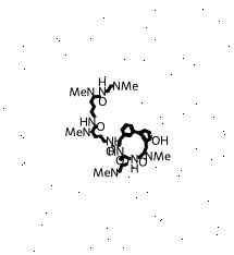 CNCCC[C@@H]1NC(=O)[C@@H](NC)Cc2cc(ccc2O)-c2cccc(c2)C[C@@H](C(=O)NCCC[C@H](NC)C(=O)NCCCC[C@H](NC)C(=O)NCCNC)NC1=O